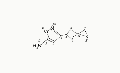 Nc1cc(C2CC3(CC3)C2)no1